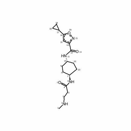 CNCCC(=O)N[C@H]1CC[C@H](NC(=O)c2cc(C3CC3)on2)CC1